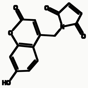 O=C1C=CC(=O)N1Cc1cc(=O)oc2cc(O)ccc12